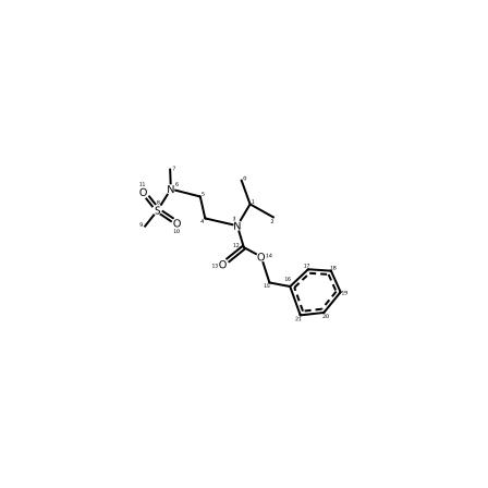 CC(C)N(CCN(C)S(C)(=O)=O)C(=O)OCc1ccccc1